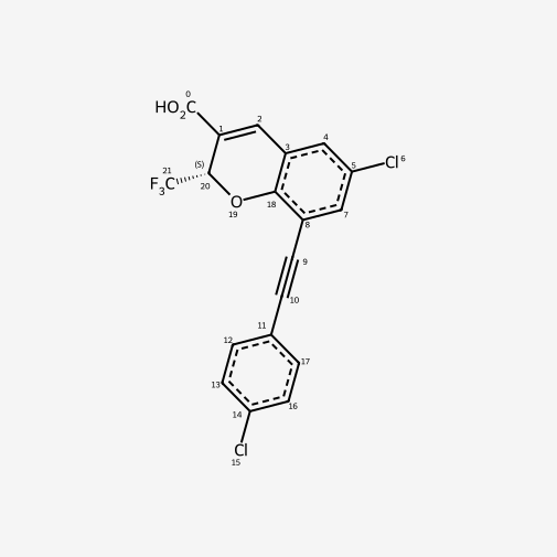 O=C(O)C1=Cc2cc(Cl)cc(C#Cc3ccc(Cl)cc3)c2O[C@@H]1C(F)(F)F